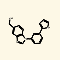 OCc1ccc2c(c1)ncn2-c1cccc(-c2ccc[nH]2)c1